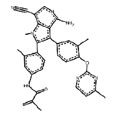 C=C(C)C(=O)Nc1ccc(-c2c(-c3ccc(Oc4nccc(C)n4)c(C)c3)c3c(N)ncc(C#N)c3n2C)c(C)c1